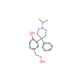 CC(C)N1CCC(c2ccccc2)(c2cc(CCO)ccc2O)CC1